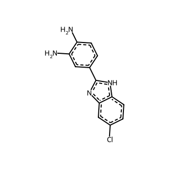 Nc1ccc(-c2nc3cc(Cl)ccc3[nH]2)cc1N